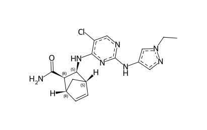 CCn1cc(Nc2ncc(Cl)c(N[C@@H]3[C@H](C(N)=O)[C@H]4C=C[C@@H]3C4)n2)cn1